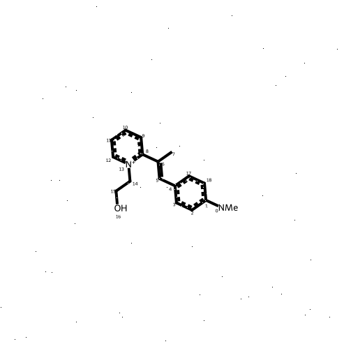 CNc1ccc(/C=C(\C)c2cccc[n+]2CCO)cc1